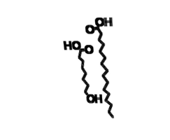 CCCCCCCCCCCCCCCC(=O)O.O=C(O)CCCCCCCO